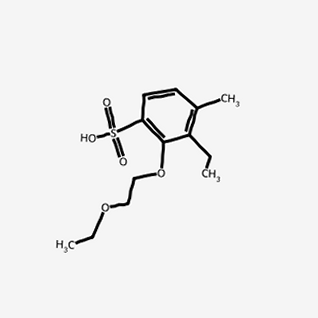 CCOCCOc1c(S(=O)(=O)O)ccc(C)c1CC